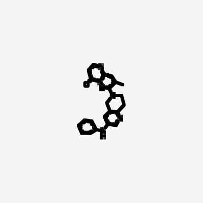 Cc1cc2nccc(=O)n2nc1N1CCc2ncc(Nc3ccccc3)cc2C1